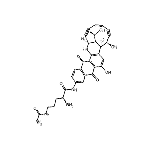 C[C@@H](O)[C@@]12O[C@]13c1cc(O)c4c(c1N[C@H]2C#C/C=C\C#C[C@H]3O)C(=O)c1ccc(NC(=O)[C@@H](N)CCCNC(N)=O)cc1C4=O